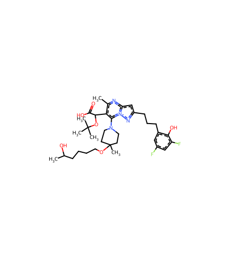 Cc1nc2cc(CCCc3cc(F)cc(F)c3O)nn2c(N2CCC(C)(OCCCCC(C)O)CC2)c1C(OC(C)(C)C)C(=O)O